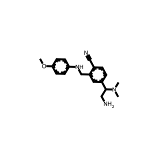 COc1ccc(NCc2cc(C(CN)N(C)C)ccc2C#N)cc1